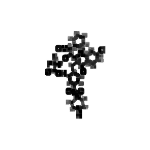 COC(=O)c1c(Cc2ccc(S(=O)(=O)N3CCNCC3)cc2)c(=O)c2ccc(Cl)cc2n1-c1ccccc1.O=C(O)C(F)(F)F